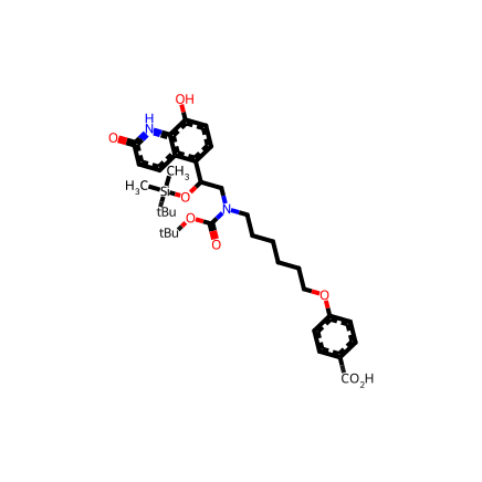 CC(C)(C)OC(=O)N(CCCCCCOc1ccc(C(=O)O)cc1)CC(O[Si](C)(C)C(C)(C)C)c1ccc(O)c2[nH]c(=O)ccc12